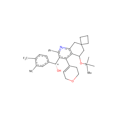 CC(C)c1nc2c(c(C3=CCOCC3)c1[C@H](O)c1ccc(C(F)(F)F)c(C#N)c1)C(O[Si](C)(C)C(C)(C)C)CC1(CCC1)C2